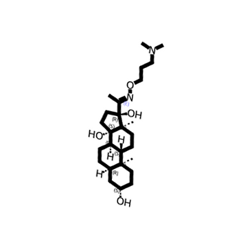 C/C(=N\OCCCN(C)C)[C@@]1(O)CC[C@]2(O)[C@@H]3CC[C@@H]4C[C@@H](O)CC[C@]4(C)[C@H]3CC[C@]12C